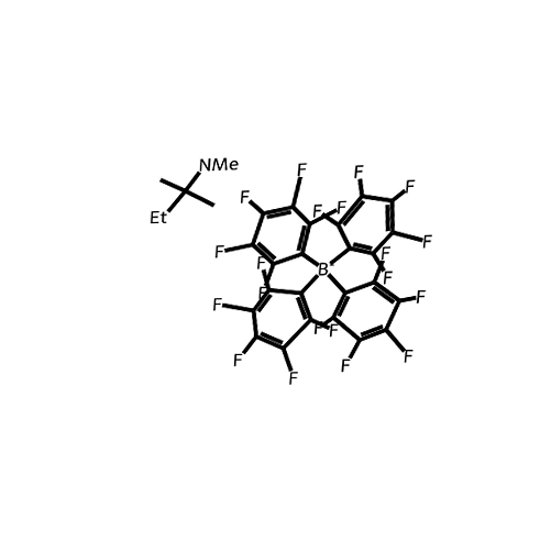 CCC(C)(C)[NH2+]C.Fc1c(F)c(F)c([B-](c2c(F)c(F)c(F)c(F)c2F)(c2c(F)c(F)c(F)c(F)c2F)c2c(F)c(F)c(F)c(F)c2F)c(F)c1F